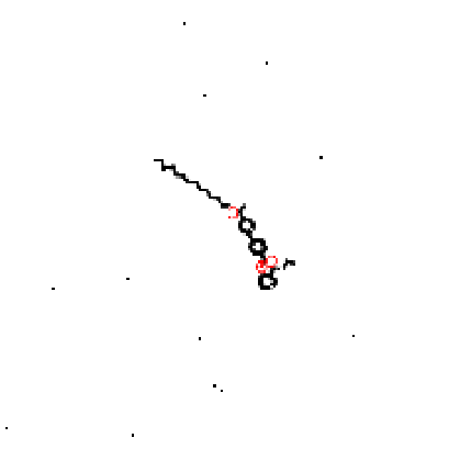 CCCCCCCCCCCCCCOC(C)c1ccc(-c2ccc(C(=O)Oc3ccccc3CCCC)cc2)cc1